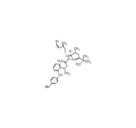 C=C(/C=C\CC)CC[C@H]1C(C(=C)CN(C)c2ccccc2Nc2ccc(C(C)(C)C)cc2)N2C=C([Si](C)(C)C)CC(C)[C@H]12